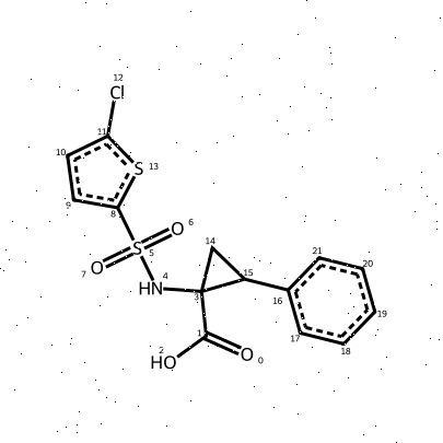 O=C(O)C1(NS(=O)(=O)c2ccc(Cl)s2)CC1c1ccccc1